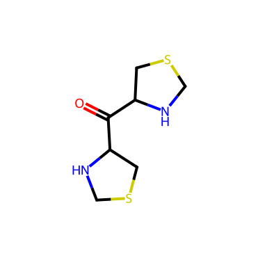 O=C(C1CSCN1)C1CSCN1